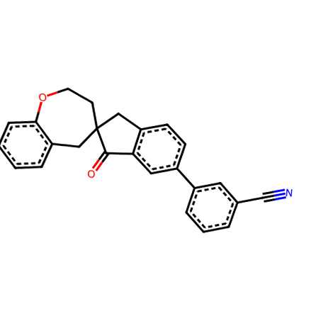 N#Cc1cccc(-c2ccc3c(c2)C(=O)C2(CCOc4ccccc4C2)C3)c1